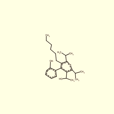 CCCCCCc1c(C(C)C)nc(C(C)C)c(C(C)O)c1-c1ccccc1O